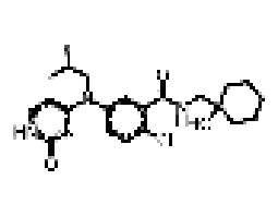 CC(C)CN(c1ccc(Cl)c(C(=O)NCC2(O)CCCCC2)c1)c1cc[nH]c(=O)n1